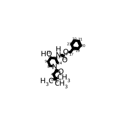 CC(C)(C)CC(=O)N1CC[C@H](O)[C@@H](NC(=O)OCc2ccccc2)C1